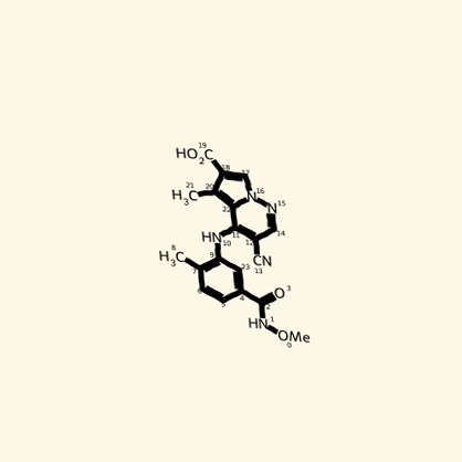 CONC(=O)c1ccc(C)c(Nc2c(C#N)cnn3cc(C(=O)O)c(C)c23)c1